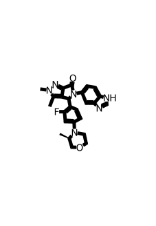 Cc1c2c(nn1C)C(=O)N(c1ccc3[nH]cnc3c1)C2c1ccc(N2CCOC[C@H]2C)cc1F